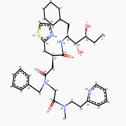 CC(C)C[C@H](O)[C@H](O)[C@H](CC1CCCCC1)NC(=O)[C@@H](CC(=O)N(CC(=O)N(C)CCc1ccccn1)Cc1ccccc1)Cc1nccs1